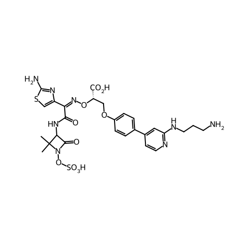 CC1(C)C(NC(=O)/C(=N\O[C@@H](COc2ccc(-c3ccnc(NCCCN)c3)cc2)C(=O)O)c2csc(N)n2)C(=O)N1OS(=O)(=O)O